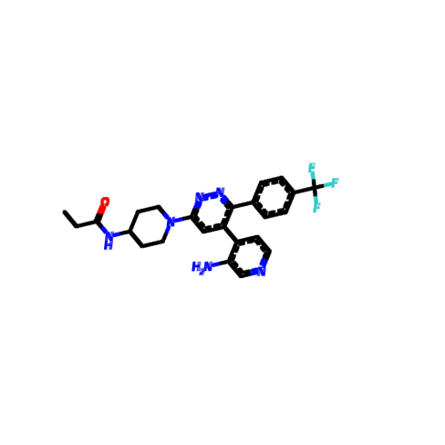 CCC(=O)NC1CCN(c2cc(-c3ccncc3N)c(-c3ccc(C(F)(F)F)cc3)nn2)CC1